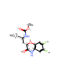 CC(C)(C)OC(=O)N[C@@H](C[C@@H]1Oc2cc(F)c(F)cc2NC1=O)C(=O)O